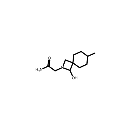 CC1CCC2(CC1)CN(CC(N)=O)C2O